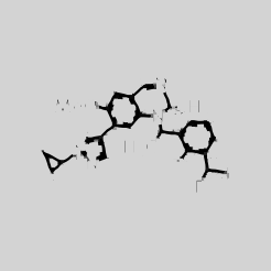 COc1cc2c(cc1-c1cnn(C3CC3)c1)N(C(C)c1cccc(C(F)F)c1F)[C@@H](C)N=C2